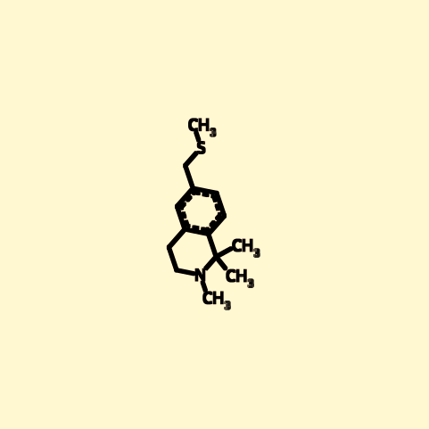 CSCc1ccc2c(c1)CCN(C)C2(C)C